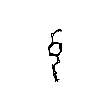 CCCOc1ccc(ON=[N+]=[N-])cc1